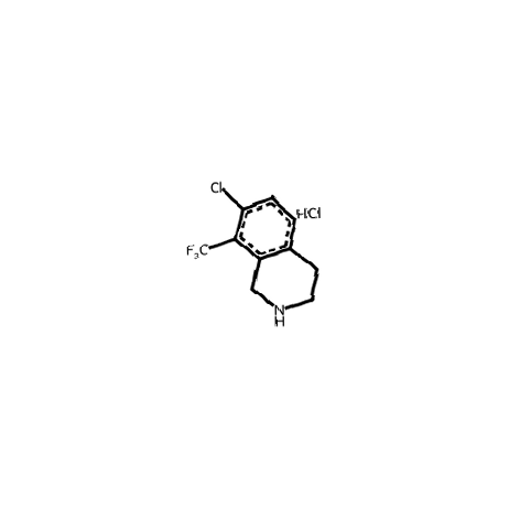 Cl.FC(F)(F)c1c(Cl)ccc2c1CNCC2